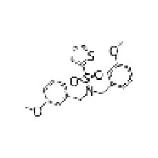 COc1cccc(CN(Cc2cccc(OC)c2)S(=O)(=O)c2cccs2)c1